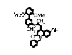 C=C(C=C1C=C(Cl)N(Cc2ccccc2)c2ccc(O)cc21)Sc1cc(-c2c(OC)cccc2OC)ccc1C